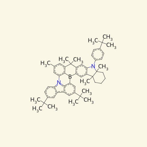 Cc1cc2c3c(c1)C(C)(C)c1cc4c(cc1B3c1cc(C(C)(C)C)cc3c5cc(C(C)(C)C)ccc5n-2c13)C1(C)CCCCC1(C)N4c1ccc(C(C)(C)C)cc1